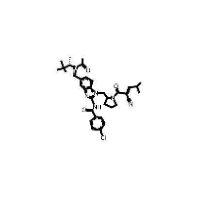 CC(=O)N(Cc1ccc2c(c1)nc(NC(=O)c1ccc(Cl)cc1)n2CC1CCCN1C(=O)C(C#N)=CC(C)C)[C@@H](C)C(C)(C)C